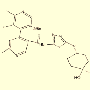 COc1cnc(C)c(F)c1-c1cc(C)ncc1C(=O)Nc1nnc(O[C@H]2CC[C@](C)(O)CC2)s1